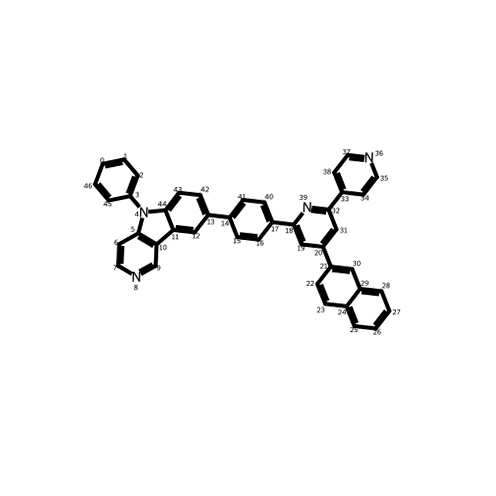 c1ccc(-n2c3ccncc3c3cc(-c4ccc(-c5cc(-c6ccc7ccccc7c6)cc(-c6ccncc6)n5)cc4)ccc32)cc1